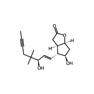 CC#CCC(C)(C)[C@H](O)C=C[C@@H]1[C@H]2CC(=O)O[C@H]2C[C@H]1O